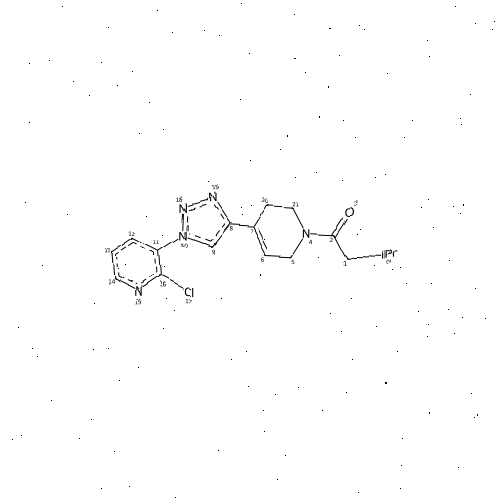 CC(C)CC(=O)N1CC=C(c2cn(-c3cccnc3Cl)nn2)CC1